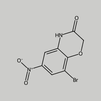 O=C1COc2c(Br)cc([N+](=O)[O-])cc2N1